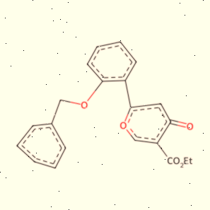 CCOC(=O)c1coc(-c2ccccc2OCc2ccccc2)cc1=O